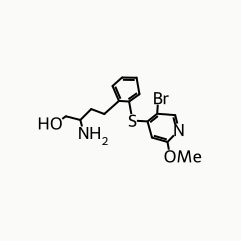 COc1cc(Sc2ccccc2CCC(N)CO)c(Br)cn1